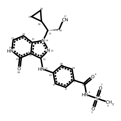 CS(=O)(=O)NC(=O)c1ccc(Nc2nn([C@@H](CC#N)C3CC3)c3cc[nH]c(=O)c23)cc1